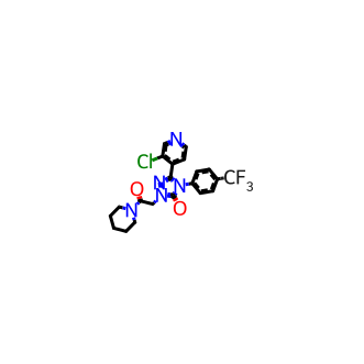 O=C(Cn1nc(-c2ccncc2Cl)n(-c2ccc(C(F)(F)F)cc2)c1=O)N1CCCCC1